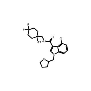 O=C(NCC1(O)CCC(F)(F)CC1)c1cn(CC2CCCO2)c2cccc(Cl)c12